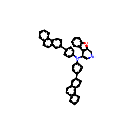 C1=C(N(c2ccc(-c3ccc4c(ccc5ccccc54)c3)cc2)c2ccc(-c3ccc4c(ccc5ccccc54)c3)cc2)c2c(oc3ccccc23)CN1